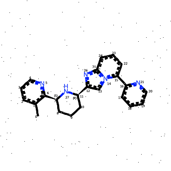 Cc1cccnc1[C@@H]1CCC[C@H](c2cn3c(-c4ccccn4)cccc3n2)N1